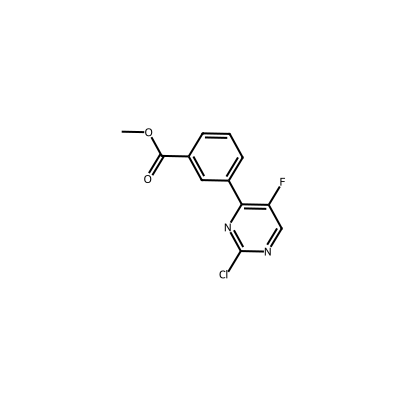 COC(=O)c1cccc(-c2nc(Cl)ncc2F)c1